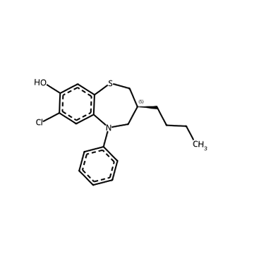 CCCC[C@@H]1CSc2cc(O)c(Cl)cc2N(c2ccccc2)C1